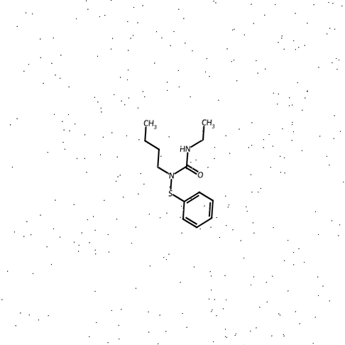 CCCCN(Sc1ccccc1)C(=O)NCC